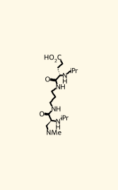 CNC[C@H](NC(C)C)C(=O)NCCCNC(=O)[C@H](CCC(=O)O)NC(C)C